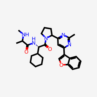 CNC(C)C(=O)N[C@H](C(=O)N1CCCC1c1cc(-c2coc3ccccc23)nc(C)n1)C1CCCCC1